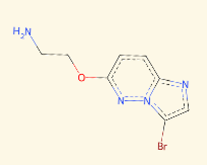 NCCOc1ccc2ncc(Br)n2n1